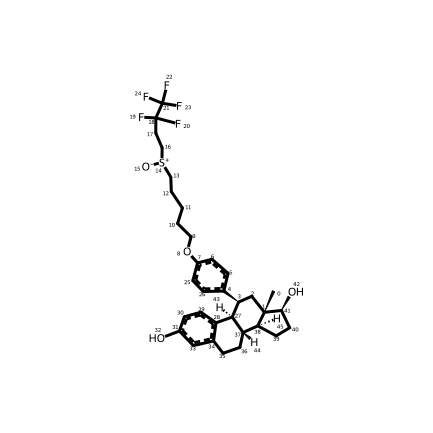 C[C@]12C[C@H](c3ccc(OCCCCC[S+]([O-])CCC(F)(F)C(F)(F)F)cc3)[C@@H]3c4ccc(O)cc4CC[C@H]3[C@@H]1CC[C@@H]2O